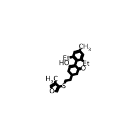 CCc1cc(C)cc(CC)c1C1=C(O)CC(CCSc2cocc2C)CC1=O